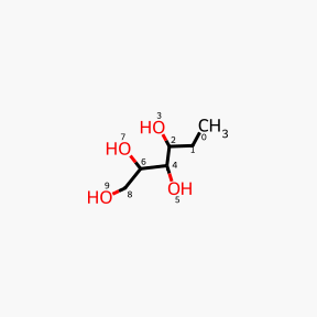 CCC(O)[C](O)C(O)CO